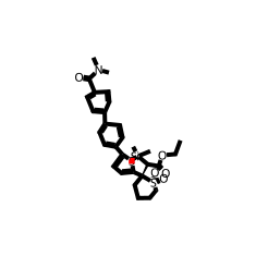 CCOC(=O)C([C@]1(c2ccc(-c3ccc(-c4ccc(C(=O)N(C)C)cc4)cc3)s2)CCCCS1(=O)=O)[Si](C)(C)C